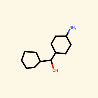 NC1CCC(C(O)C2CCCCC2)CC1